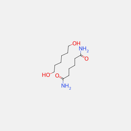 NC(=O)CCCCC(N)=O.OCCCCCCO